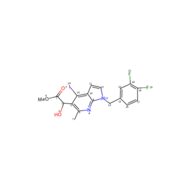 COC(=O)C(O)c1c(C)nc2c(ccn2Cc2ccc(F)c(F)c2)c1I